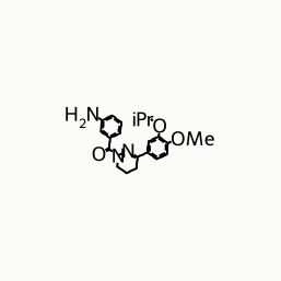 COc1ccc(C2=NN(C(=O)c3cccc(N)c3)CCC2)cc1OC(C)C